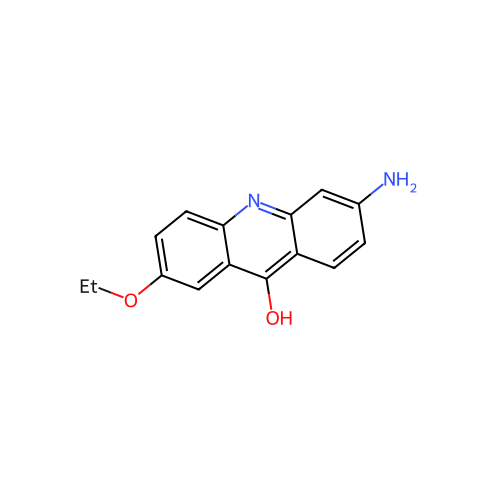 CCOc1ccc2nc3cc(N)ccc3c(O)c2c1